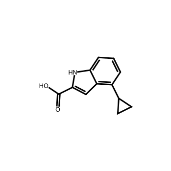 O=C(O)c1cc2c(C3CC3)cccc2[nH]1